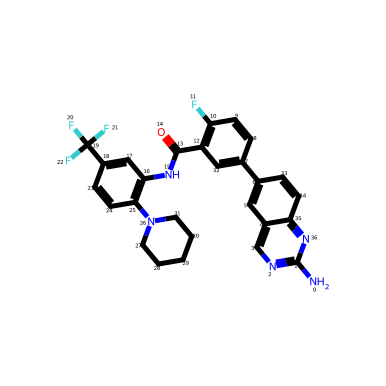 Nc1ncc2cc(-c3ccc(F)c(C(=O)Nc4cc(C(F)(F)F)ccc4N4CCCCC4)c3)ccc2n1